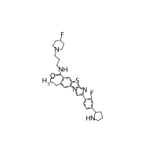 CCc1cc2c(cc1C(=O)NCCCN1CCC(F)CC1)sc1nc(-c3ccc(C4CCCN4)cc3F)cn12